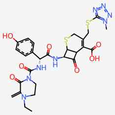 C=C1C(=O)N(C(=O)N[C@@H](C(=O)N[C@@H]2C(=O)C3C(C(=O)O)=C(CSc4nnnn4C)CSC32)c2ccc(O)cc2)CCN1CC